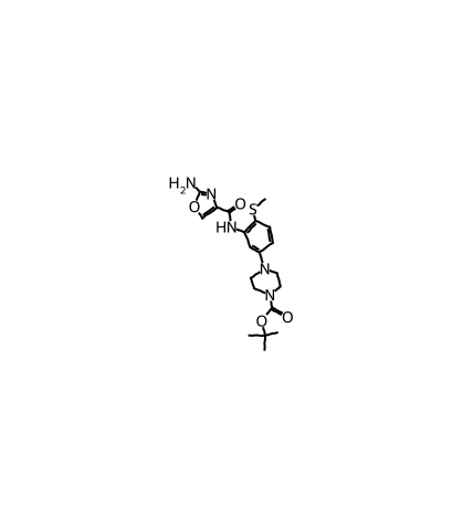 CSc1ccc(N2CCN(C(=O)OC(C)(C)C)CC2)cc1NC(=O)c1coc(N)n1